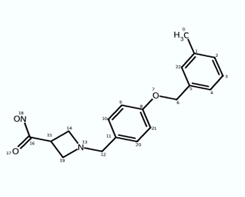 Cc1cccc(COc2ccc(CN3CC(C(=O)N=O)C3)cc2)c1